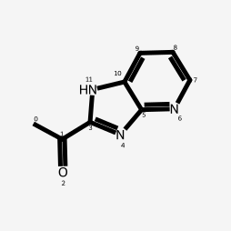 CC(=O)c1nc2ncccc2[nH]1